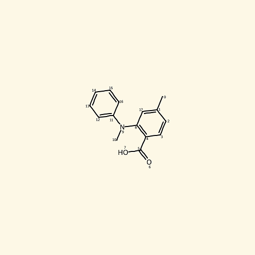 Cc1ccc(C(=O)O)c(N(C)c2ccccc2)c1